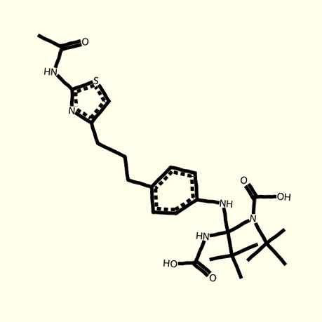 CC(=O)Nc1nc(CCCc2ccc(NC(NC(=O)O)(N(C(=O)O)C(C)(C)C)C(C)(C)C)cc2)cs1